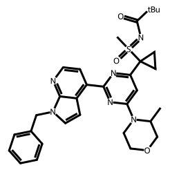 CC1COCCN1c1cc(C2(S(C)(=O)=NC(=O)C(C)(C)C)CC2)nc(-c2ccnc3c2ccn3Cc2ccccc2)n1